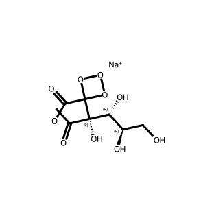 CC(=O)[C@](O)([C@H](O)[C@H](O)CO)C1(C(=O)[O-])OOO1.[Na+]